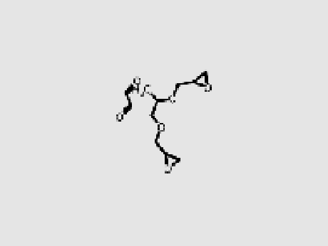 CC(COCC1CO1)OCC1CO1.O=CC=O